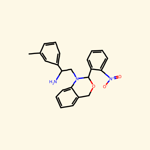 Cc1cccc(C(N)CN2c3ccccc3COC2c2ccccc2[N+](=O)[O-])c1